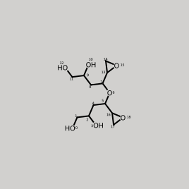 OCC(O)CC(OC(CC(O)CO)C1CO1)C1CO1